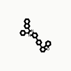 c1ccc(-c2nc3cc(-c4ccc(-c5cccc6oc7ccccc7c56)cc4)ccc3nc2-c2ccc3ccccc3c2)cc1